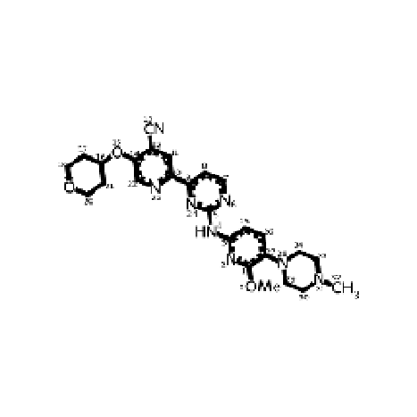 COc1nc(Nc2nccc(-c3cc(C#N)c(OC4CCOCC4)cn3)n2)ccc1N1CCN(C)CC1